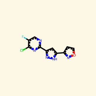 Fc1cnc(-c2cc(-c3ccon3)[nH]n2)nc1Cl